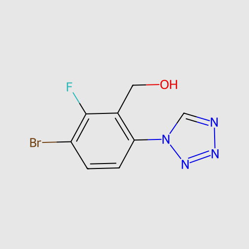 OCc1c(-n2cnnn2)ccc(Br)c1F